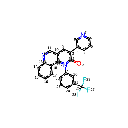 O=c1c(-c2cccnc2)cc2cnc3ccccc3c2n1-c1cccc(C(F)(F)F)c1